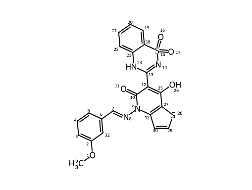 COc1cccc(C=Nn2c(=O)c(C3=NS(=O)(=O)c4ccccc4N3)c(O)c3sccc32)c1